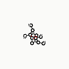 C1=CC(c2ccc3c(c2)c2cc(-c4cccnc4)ccc2n3-c2ccccc2-c2cccc(-c3ccccc3-n3c4ccc(-c5cccnc5)cc4c4c(-c5cccnc5)cccc43)n2)CN=C1